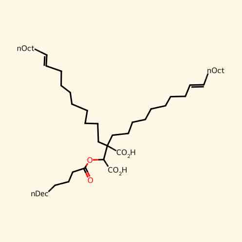 CCCCCCCCC=CCCCCCCCCC(CCCCCCCCC=CCCCCCCCC)(C(=O)O)C(OC(=O)CCCCCCCCCCCCC)C(=O)O